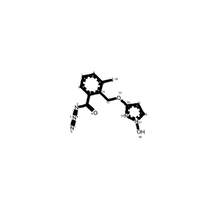 [N-]=[N+]=NC(=O)c1cccc(I)c1COc1ccn(O)n1